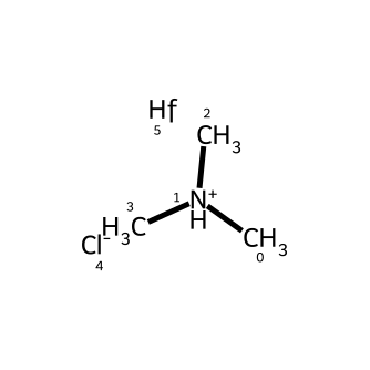 C[NH+](C)C.[Cl-].[Hf]